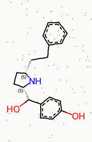 Oc1ccc(C(O)[C@@H]2CC[C@H](CCc3ccccc3)N2)cc1